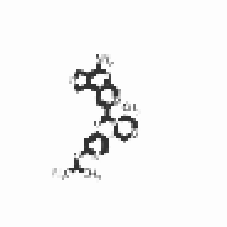 CC(C)Oc1ccc([C@H]2COC[C@@H](C)N2C(=O)c2cc3c4c(c(N)nc3cn2)COC4)cn1